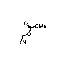 COC(=O)OCC#N